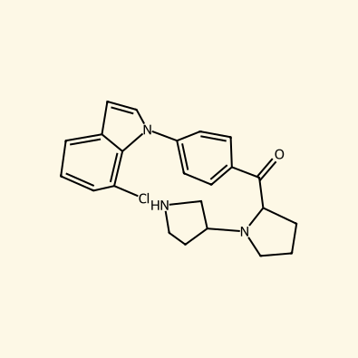 O=C(c1ccc(-n2ccc3cccc(Cl)c32)cc1)C1CCCN1C1CCNC1